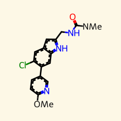 CNC(=O)NCc1cc2cc(Cl)c(-c3ccc(OC)nc3)cc2[nH]1